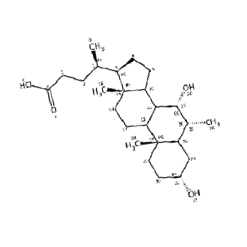 C[C@H](CCC(=O)O)[C@H]1CCC2C3C(CC[C@@]21C)[C@@]1(C)CC[C@@H](O)CC1[C@@H](C)[C@H]3O